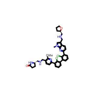 COc1nc(-c2cccc(-c3cccc(-c4ccc5c(CNC[C@H]6CCCO6)cn(C)c5n4)c3Cl)c2Cl)ccc1CNC[C@@H]1CCC(=O)N1